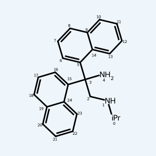 CC(C)NCC(N)(c1cccc2ccccc12)c1cccc2ccccc12